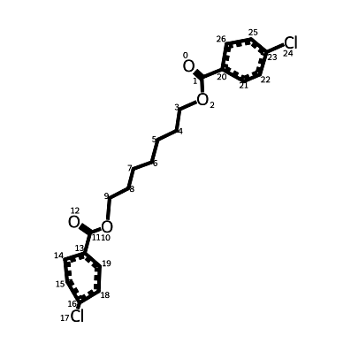 O=C(OCCCCCCCOC(=O)c1ccc(Cl)cc1)c1ccc(Cl)cc1